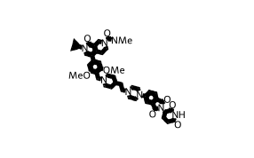 CNC(=O)N1CCc2c(-c3cc(OC)c(CN4CCC(CCN5CCN(c6ccc7c(c6)C(=O)N(C6CCC(=O)NC6=O)C7=O)CC5)CC4)c(OC)c3)cn(C3CC3)c(=O)c2C1